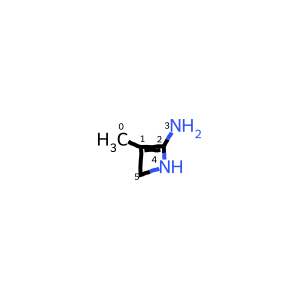 CC1=C(N)NC1